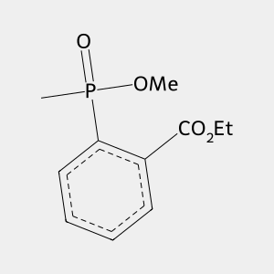 CCOC(=O)c1ccccc1P(C)(=O)OC